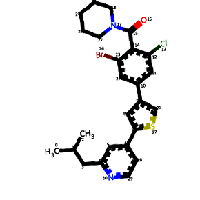 CC(C)Cc1cc(-c2cc(-c3cc(Cl)c(C(=O)N4CCCCC4)c(Br)c3)cs2)ccn1